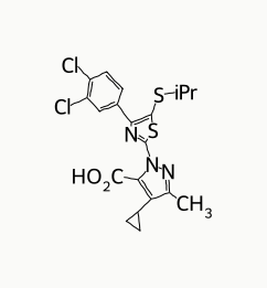 Cc1nn(-c2nc(-c3ccc(Cl)c(Cl)c3)c(SC(C)C)s2)c(C(=O)O)c1C1CC1